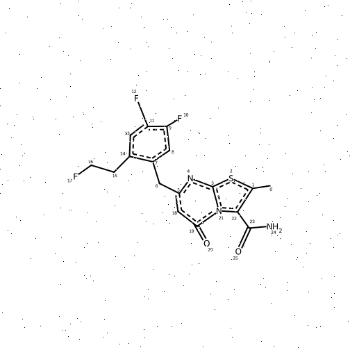 Cc1sc2nc(Cc3cc(F)c(F)cc3CCF)cc(=O)n2c1C(N)=O